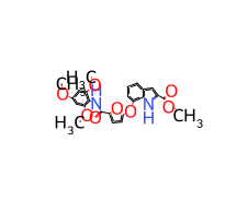 CCOC(=O)c1cc2cccc(Oc3ccc(C(=O)Nc4c(OC)cc(OC)cc4OC)o3)c2[nH]1